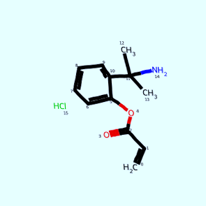 C=CC(=O)Oc1ccccc1C(C)(C)N.Cl